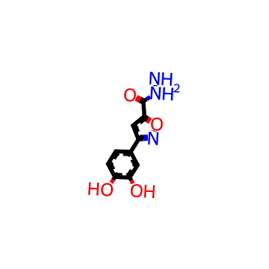 NNC(=O)c1cc(-c2ccc(O)c(O)c2)no1